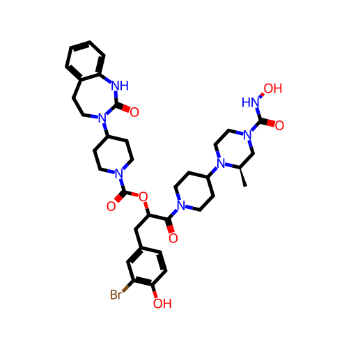 C[C@@H]1CN(C(=O)NO)CCN1C1CCN(C(=O)C(Cc2ccc(O)c(Br)c2)OC(=O)N2CCC(N3CCc4ccccc4NC3=O)CC2)CC1